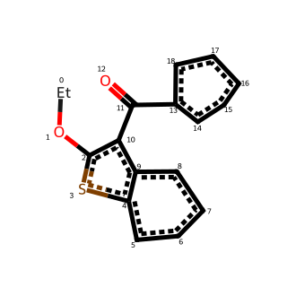 CCOc1sc2ccccc2c1C(=O)c1ccccc1